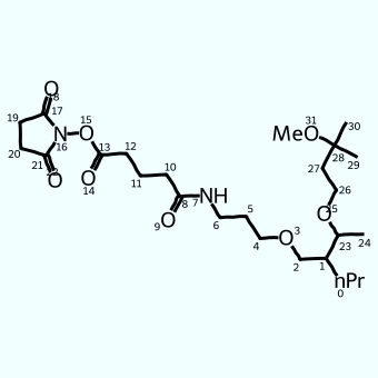 CCCC(COCCCNC(=O)CCCC(=O)ON1C(=O)CCC1=O)C(C)OCCC(C)(C)OC